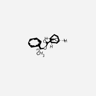 C[C@@H](OC(=O)[C@@H]1C[C@H]2CC[C@@H]1CC2)c1ccccc1